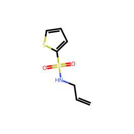 C=CCNS(=O)(=O)c1cccs1